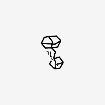 [2H]N1CC2CC(C1)N2CCC12CC3CC(CC(C3)C1)C2